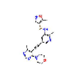 Cc1ncc(C#Cc2c(C)ncnc2N2CCOCC2)cc1NSc1cnoc1C